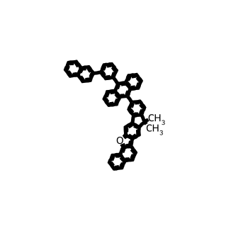 CC1(C)c2ccc(-c3c4ccccc4c(-c4cccc(-c5ccc6ccccc6c5)c4)c4ccccc34)cc2-c2cc3oc4c5ccccc5ccc4c3cc21